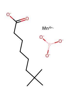 CC(C)(C)CCCCCC(=O)[O-].[Mn+4].[O-]B([O-])[O-]